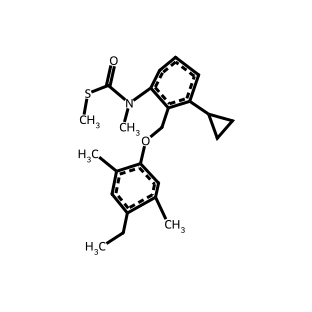 CCc1cc(C)c(OCc2c(C3CC3)cccc2N(C)C(=O)SC)cc1C